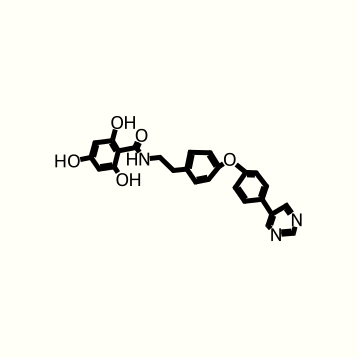 O=C(NCCc1ccc(Oc2ccc(-c3cncnc3)cc2)cc1)c1c(O)cc(O)cc1O